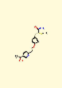 CS[C@H](Cc1ccc(OCCc2ccc(C(C)O)cn2)cc1)C(N)=O